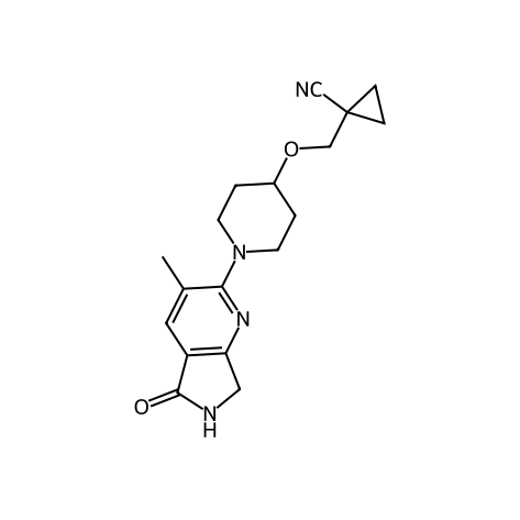 Cc1cc2c(nc1N1CCC(OCC3(C#N)CC3)CC1)CNC2=O